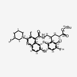 Cc1c(N2CCCC(F)C2)nc2ccc(Br)cc2c1C(=O)NCC(CCC(=O)OC(C)(C)C)c1c(F)ccc(F)c1Cl